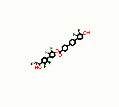 CCCC(O)c1ccc(-c2ccc(OC(=O)C3CCC(C4CCC(c5ccc(O)c(F)c5F)CC4)CC3)c(F)c2F)c(F)c1F